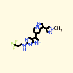 Cn1cc(-c2cnn3ccc(-c4c[nH]c5nc(NCCC(F)(F)F)ncc45)cc23)cn1